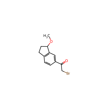 COC1CCc2ccc(C(=O)CBr)cc21